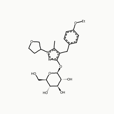 CCOc1ccc(Cc2c(O[C@@H]3O[C@H](CO)[C@@H](O)[C@H](O)[C@H]3O)nn(C3CCOC3)c2C)cc1